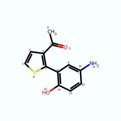 CC(=O)c1ccsc1-c1cc(N)ccc1O